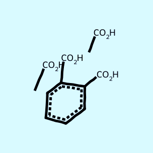 CC(=O)O.CC(=O)O.O=C(O)c1ccccc1C(=O)O